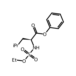 CCOS(=O)(=O)N[C@@H](CC(C)C)C(=O)Oc1ccccc1